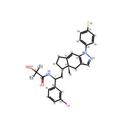 CCC(O)(CC)C(=O)NC(C[C@H]1CCC2=Cc3c(cnn3-c3ccc(F)cc3)C[C@@]21C)c1cccc(I)c1